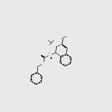 O=C(OCc1ccccc1)S(=O)(=O)C1c2ccccc2C=C(CO)[C@H]1C(F)(F)F